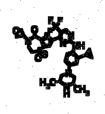 C[C@H]1CN(c2ccc(Nc3ncc(C(F)(F)F)c(-c4cc5c(s4)C(=O)N(C4COC4)CCS5(=O)=O)n3)c(C3CC3)c2)C[C@H](C)N1